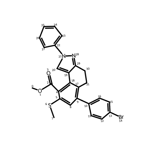 COC(=O)c1c(SC)cc(-c2ccc(Br)cc2)c2c1-c1cn(-c3ccccc3)nc1CC2